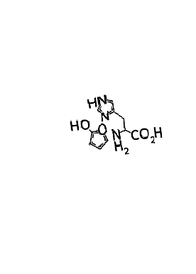 NC(Cc1c[nH]cn1)C(=O)O.Oc1ccco1